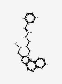 CCOCc1nc2cnc3ccccc3c2n1CCCO/N=C/c1ccccc1